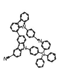 N#Cc1ccc(-n2c3ccccc3c3cccc(-c4ccc5c(c4)c4cc(C#N)ccc4n5-c4ccc([Si](c5ccccc5)(c5ccccc5)c5ccccc5)cc4)c32)cc1